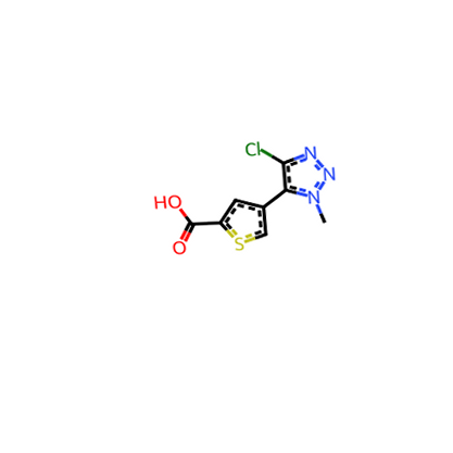 Cn1nnc(Cl)c1-c1csc(C(=O)O)c1